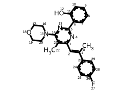 C/C(=C\c1nc(-c2ccccc2O)nc(N2CCOCC2)c1C)c1ccc(F)cc1